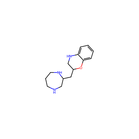 c1ccc2c(c1)NCC(CC1CNCCCN1)O2